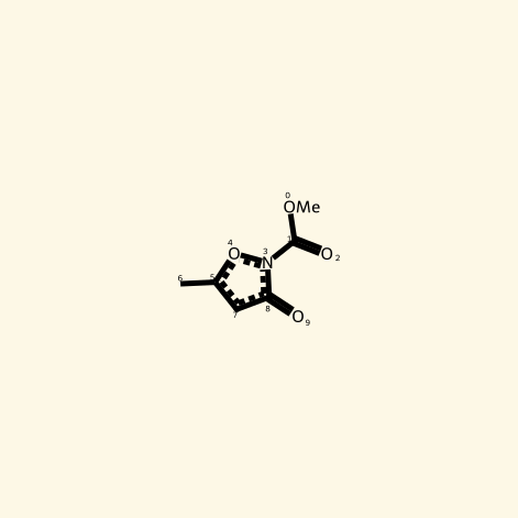 [CH2]OC(=O)n1oc(C)cc1=O